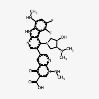 CNc1cc(F)c(F)c2c1[nH]c1ncc(-c3cnc4c(c3)c(=O)c(C(=O)O)cn4NC)c(N3C[C@@H](O)[C@@H](N(C)C)C3)c12